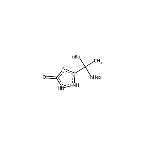 CCCCCCC(C)(CCCC)c1nc(=O)[nH][nH]1